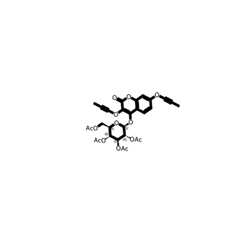 CC#COc1ccc2c(O[C@@H]3O[C@H](COC(C)=O)[C@@H](OC(C)=O)[C@H](OC(C)=O)[C@H]3OC(C)=O)c(OC#CC)c(=O)oc2c1